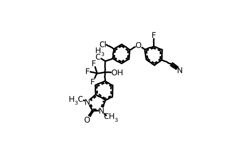 CC(c1ccc(Oc2ccc(C#N)cc2F)cc1Cl)C(O)(c1ccc2c(c1)n(C)c(=O)n2C)C(F)(F)F